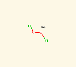 ClOOCl.[Re]